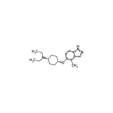 CCN(CC)[C@H]1CC[C@@H](Oc2ccc3[nH]ncc3c2C)CC1